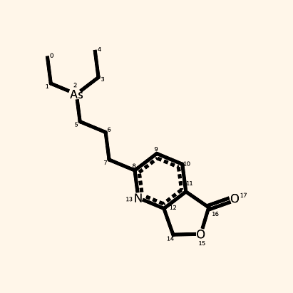 CC[As](CC)CCCc1ccc2c(n1)COC2=O